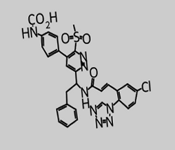 CS(=O)(=O)c1nnc(C(Cc2ccccc2)NC(=O)C=Cc2cc(Cl)ccc2-n2cnnn2)cc1-c1ccc(NC(=O)O)cc1